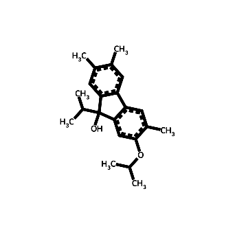 Cc1cc2c(cc1C)C(O)(C(C)C)c1cc(OC(C)C)c(C)cc1-2